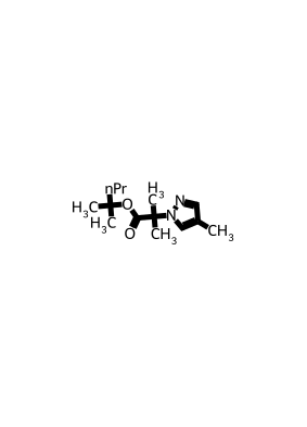 CCCC(C)(C)OC(=O)C(C)(C)n1cc(C)cn1